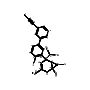 CC#Cc1cncc(-c2ccc(F)c([C@]3(C(F)F)N=C(N)O[C@@H]4C3[C@@H]4C)c2)c1